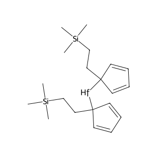 C[Si](C)(C)CC[C]1([Hf][C]2(CC[Si](C)(C)C)C=CC=C2)C=CC=C1